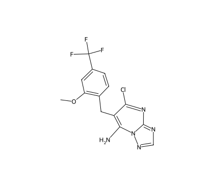 COc1cc(C(F)(F)F)ccc1Cc1c(Cl)nc2ncnn2c1N